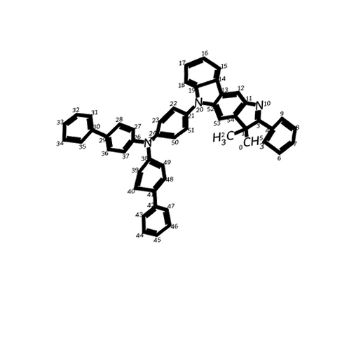 CC1(C)C(c2ccccc2)=Nc2cc3c4ccccc4n(-c4ccc(N(c5ccc(-c6ccccc6)cc5)c5ccc(-c6ccccc6)cc5)cc4)c3cc21